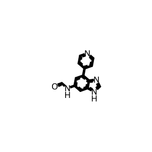 O=CNc1cc(-c2ccncc2)c2nc[nH]c2c1